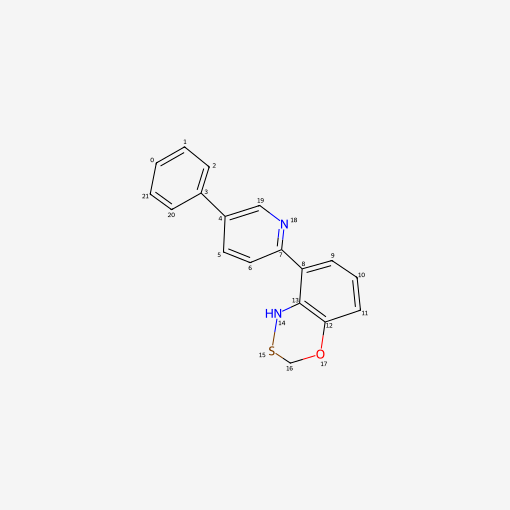 c1ccc(-c2ccc(-c3cccc4c3NSCO4)nc2)cc1